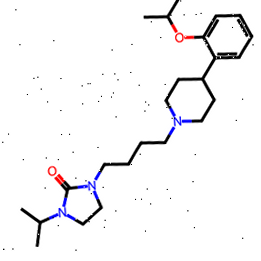 CC(C)Oc1ccccc1C1CCN(CCCCN2CCN(C(C)C)C2=O)CC1